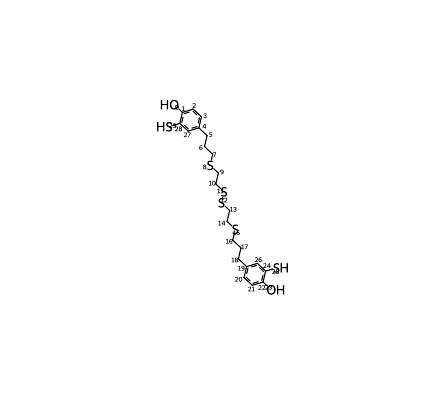 Oc1ccc(CCCSCCSSCCSCCCc2ccc(O)c(S)c2)cc1S